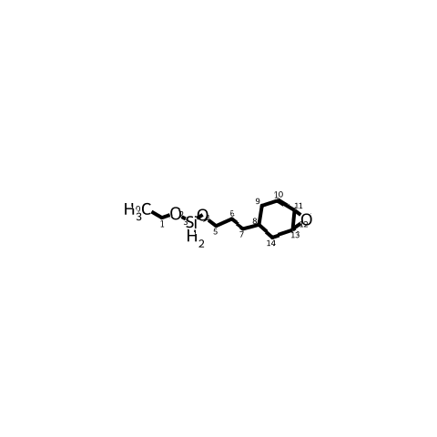 CCO[SiH2]OCCCC1CCC2OC2C1